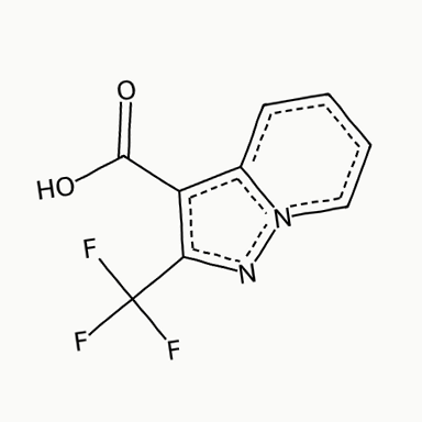 O=C(O)c1c(C(F)(F)F)nn2ccccc12